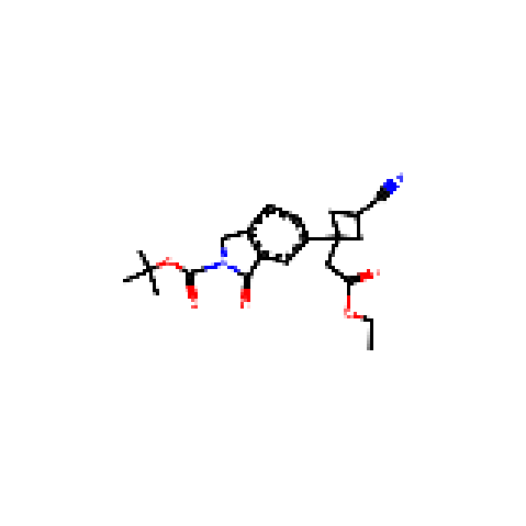 CCOC(=O)CC1(c2ccc3c(c2)C(=O)N(C(=O)OC(C)(C)C)C3)CC(C#N)C1